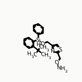 CC(C)(C)c1ccccc1[SiH](OCc1csc(CON)n1)c1ccccc1